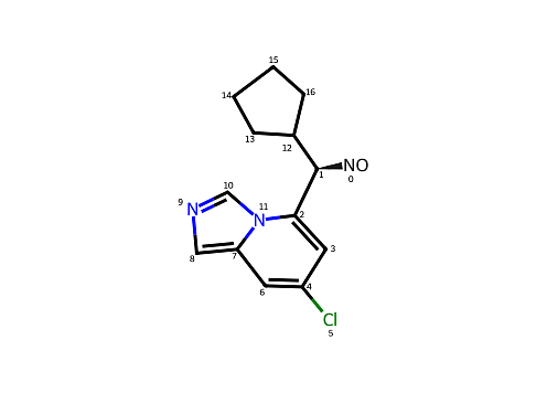 O=N[C@@H](c1cc(Cl)cc2cncn12)C1CCCC1